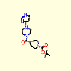 CC(C)(C)OC(=O)N1CCC(C(=O)N2CCN(c3ccncn3)CC2)CC1